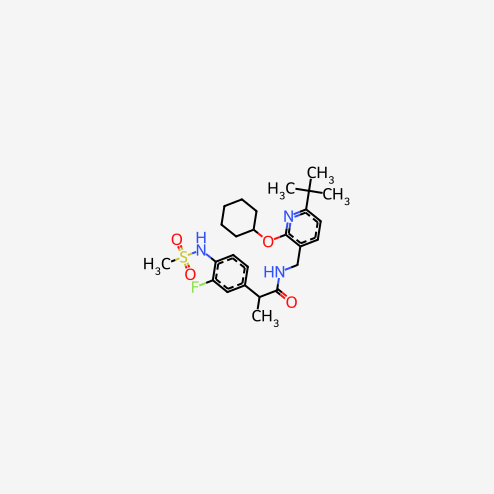 CC(C(=O)NCc1ccc(C(C)(C)C)nc1OC1CCCCC1)c1ccc(NS(C)(=O)=O)c(F)c1